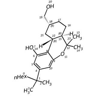 CCCCCCC(C)(C)c1cc(O)c2c(c1)OC(C)(C)[C@@H]1CC[C@@H](CO)C[C@@H]21